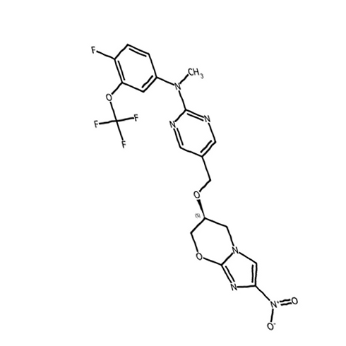 CN(c1ccc(F)c(OC(F)(F)F)c1)c1ncc(CO[C@@H]2COc3nc([N+](=O)[O-])cn3C2)cn1